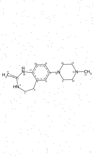 C=C1NCCc2cc(N3CCN(C)CC3)ccc2N1